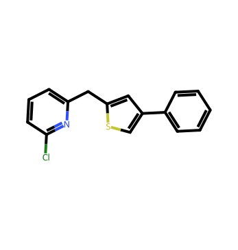 Clc1cccc(Cc2cc(-c3ccccc3)cs2)n1